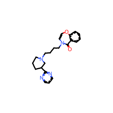 O=C1c2ccccc2OC=CN1CCCCN1CCCC(c2ncccn2)C1